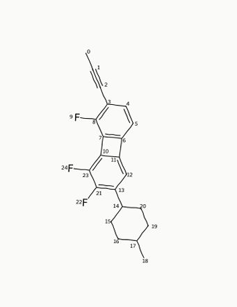 CC#Cc1ccc2c(c1F)-c1c-2cc(C2CCC(C)CC2)c(F)c1F